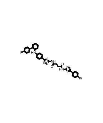 O=C(CCC(=O)Nc1nnc(-c2ccc(Nc3ccccc3-c3ccc(F)cc3)cc2)s1)Nc1nnc(-c2ccc(Br)cc2)s1